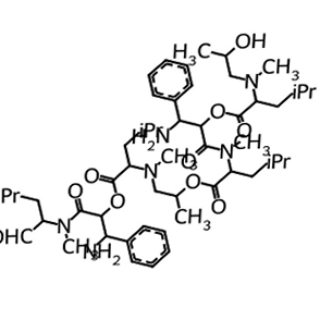 CC(C)CC(C(=O)OC(C(=O)N(C)C(C=O)CC(C)C)C(N)c1ccccc1)N(C)CC(C)OC(=O)C(CC(C)C)N(C)C(=O)C(OC(=O)C(CC(C)C)N(C)CC(C)O)C(N)c1ccccc1